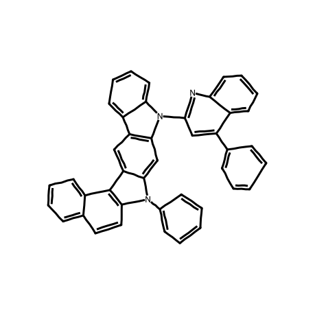 c1ccc(-c2cc(-n3c4ccccc4c4cc5c6c7ccccc7ccc6n(-c6ccccc6)c5cc43)nc3ccccc23)cc1